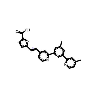 Cc1ccnc(-c2cc(C)cc(-c3cc(/C=C/c4ccc(C(=O)O)s4)ccn3)n2)c1